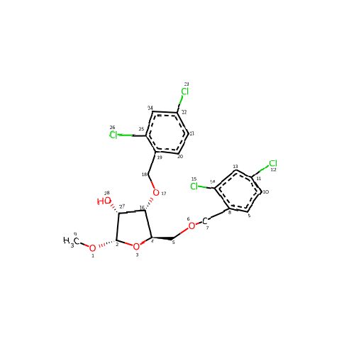 CO[C@H]1O[C@H](COCc2ccc(Cl)cc2Cl)[C@@H](OCc2ccc(Cl)cc2Cl)[C@H]1O